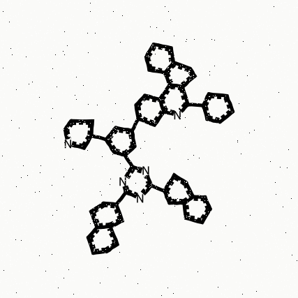 c1ccc(-c2nc3cc(-c4cc(-c5cccnc5)cc(-c5nc(-c6ccc7ccccc7c6)nc(-c6ccc7ccccc7c6)n5)c4)ccc3c3c2ccc2ccccc23)cc1